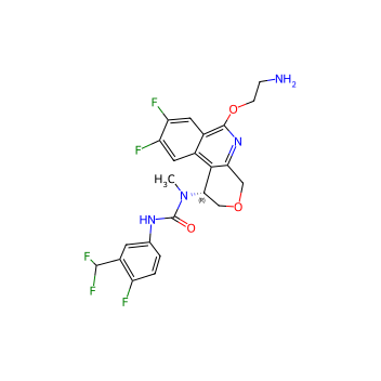 CN(C(=O)Nc1ccc(F)c(C(F)F)c1)[C@H]1COCc2nc(OCCN)c3cc(F)c(F)cc3c21